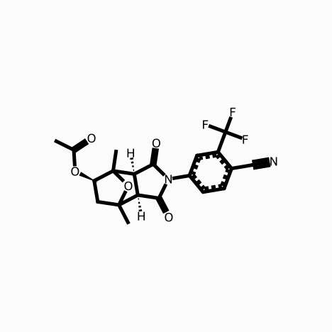 CC(=O)O[C@@H]1CC2(C)OC1(C)[C@H]1C(=O)N(c3ccc(C#N)c(C(F)(F)F)c3)C(=O)[C@H]12